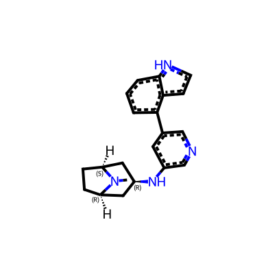 CN1[C@@H]2CC[C@H]1C[C@@H](Nc1cncc(-c3cccc4[nH]ccc34)c1)C2